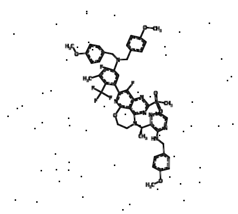 COc1ccc(CNc2nccnc2[C@@H](C)N2CCOc3nc(-c4cc(N(Cc5ccc(OC)cc5)Cc5ccc(OC)cc5)c(F)c(C)c4C(F)(F)F)c(F)c4nc(S(C)(=O)=O)nc2c34)cc1